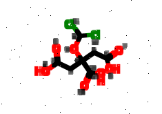 O=C(O)CC(CC(=O)O)(OC(Cl)Cl)C(=O)O